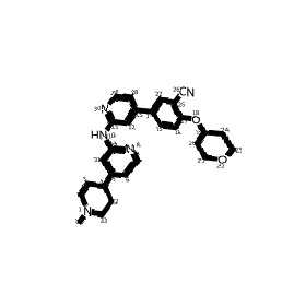 CN1CCC(c2ccnc(Nc3cc(-c4ccc(OC5CCOCC5)c(C#N)c4)ccn3)c2)CC1